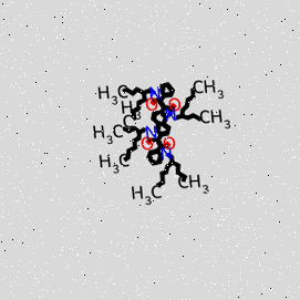 CCCCCCC(CCCC)CN1C(=O)/C(=C2/C(=O)N(CC(CCCC)CCCCCC)c3c2ccc2c4c(ccc32)/C(=C2\C(=O)N(CC(CCCC)CCCCCC)c3ccccc32)C(=O)N4CC(CCCC)CCCCCC)c2ccccc21